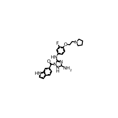 NC1N=C(Nc2ccc(OCCN3CCCC3)c(F)c2)N(C(=O)c2ccc3cc[nH]c3c2)N1